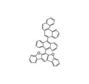 c1ccc2c(c1)ccc1cc(-c3c4ccccc4c(-c4c5oc6ccccc6c5cc5c4oc4ccccc45)c4ccccc34)c3ccccc3c12